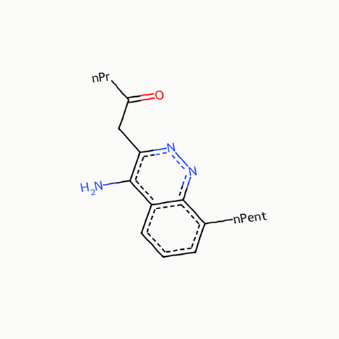 CCCCCc1cccc2c(N)c(CC(=O)CCC)nnc12